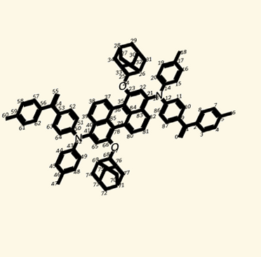 C=C(c1ccc(C)cc1)c1ccc(N(c2ccc(C)cc2)c2cc(OC3C4CC5CC(C4)CC3C5)c3c4cccc5c(N(c6ccc(C)cc6)c6ccc(C(=C)c7ccc(C)cc7)cc6)cc(OC6C7CC8CC(C7)CC6C8)c(c6cccc2c63)c54)cc1